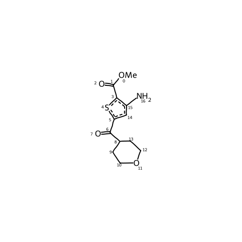 COC(=O)c1sc(C(=O)C2CCOCC2)cc1N